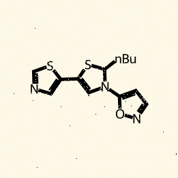 CCCCC1SC(c2cncs2)=[C]N1c1ccno1